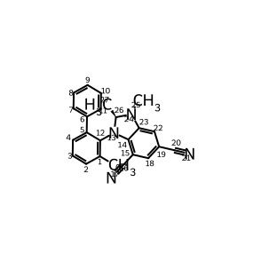 Cc1cccc(-c2ccccc2)c1N1c2c(C#N)cc(C#N)cc2N(C)[C@@H]1C